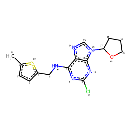 Cc1ccc(CNc2nc(Cl)nc3c2ncn3C2CCCO2)s1